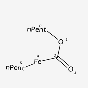 CCCCCO[C](=O)[Fe][CH2]CCCC